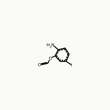 Nc1ccc(I)cc1OC=O